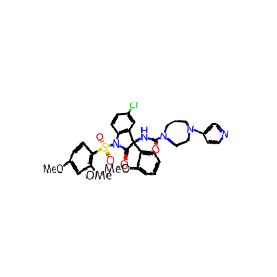 COc1ccc(S(=O)(=O)N2C(=O)C(NC(=O)N3CCCN(c4ccncc4)CC3)(c3ccccc3OC)c3cc(Cl)ccc32)c(OC)c1